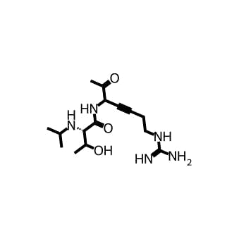 CC(=O)C(C#CCCNC(=N)N)NC(=O)[C@@H](NC(C)C)C(C)O